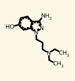 CCN(CC)CCCn1nc(N)c2ccc(O)cc21